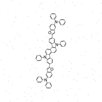 c1ccc(N(c2ccccc2)c2ccc3oc(-c4ccc5c6c7ccc8c(c7ccc6n(-c6ccccc6)c5c4)c4ccc(-c5cc6cc(N(c7ccccc7)c7ccccc7)ccc6o5)cc4n8-c4ccccc4)cc3c2)cc1